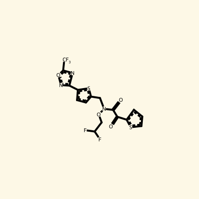 O=C(C(=O)N(Cc1ccc(-c2noc(C(F)(F)F)n2)s1)OCC(F)F)c1cccs1